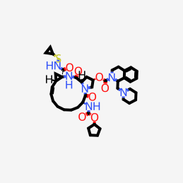 O=C(N[C@H]1CCCCC/C=C\[C@@H]2C[C@@]2(C(=O)NSC2CC2)NC(=O)[C@@H]2C[C@@H](OC(=O)N3CCc4ccccc4C3CN3CCCCC3)CN2C1=O)OC1CCCC1